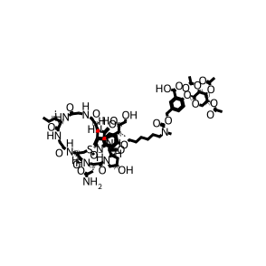 CC[C@H](C)[C@@H]1NC(=O)CNC(=O)[C@@H]2Cc3c([nH]c4cc(OCCCCCCN(C)C(=O)OCc5ccc(O[C@@H]6OC[C@@H](OC(C)=O)[C@H](OC(C)=O)[C@H]6OC(C)=O)c(C(=O)O)c5)ccc34)[S+]([O-])C[C@H](NC(=O)CNC1=O)C(=O)N[C@@H](CC(N)=O)C(=O)N1C[C@H](O)C[C@H]1C(=O)N[C@@H]([C@@H](C)[C@@H](O)CO)C(=O)N2